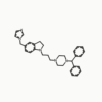 c1ccc(C(c2ccccc2)N2CCN(CCCN3CCc4cc(Cn5ccnc5)ccc43)CC2)cc1